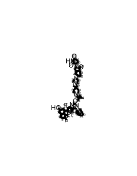 CCc1c(F)ccc2cc(O)cc(-c3ncc4c(N5CC6CCC(C5)N6)nc(OCC5(CN6CCC(F)(CN7CCN(c8ccc9c(c8)CN([C@H]8CCC(=O)NC8=O)C9=O)CC7)CC6)CC5)nc4c3F)c12